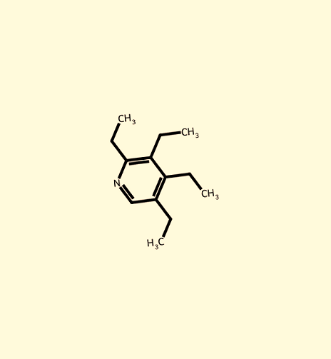 CCc1cnc(CC)c(CC)c1CC